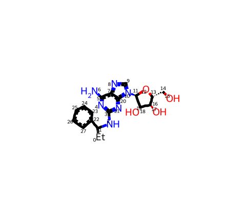 CCC(Nc1nc(N)c2ncn([C@H]3O[C@H](CO)[C@@H](O)[C@H]3O)c2n1)c1ccccc1